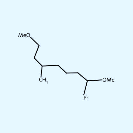 COCCC(C)CCCC(OC)C(C)C